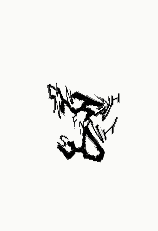 Fc1c(-c2cncnc2)ncc2[nH]nc(-c3nc4c(-c5ccsc5)cccc4[nH]3)c12